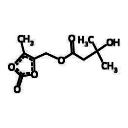 Cc1oc(=O)oc1COC(=O)CC(C)(C)O